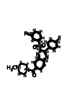 CN1CCN(C(=O)c2ccc3nc(-c4ccc(F)cc4)c(S(=O)(=O)c4cccc(F)c4)nc3c2)CC1